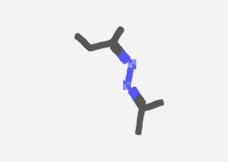 CC/C(C)=N\N=C(C)C